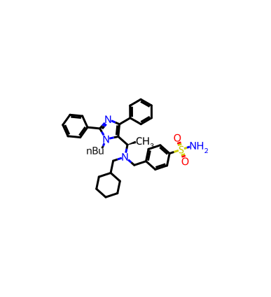 CCCCn1c(-c2ccccc2)nc(-c2ccccc2)c1[C@@H](C)N(Cc1ccc(S(N)(=O)=O)cc1)CC1CCCCC1